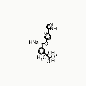 CC(C)(C(=O)O)c1cccc(COc2ccc(-c3ccn[nH]3)nc2)c1.[NaH]